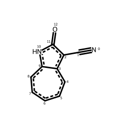 N#Cc1c2cccccc-2[nH]c1=O